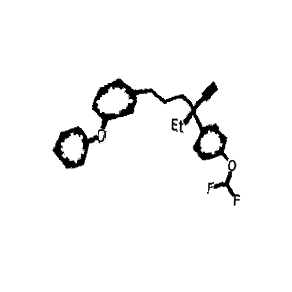 C#CC(CC)(CCCc1cccc(Oc2ccccc2)c1)c1ccc(OC(F)F)cc1